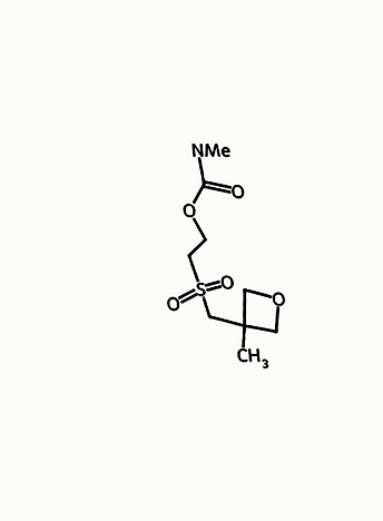 CNC(=O)OCCS(=O)(=O)CC1(C)COC1